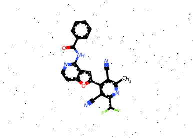 Cc1nc(C(F)F)c(C#N)c(-c2cc3c(NC(=O)c4ccccc4)nccc3o2)c1C#N